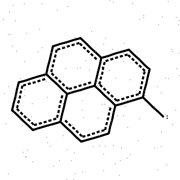 [CH]c1ccc2ccc3cccc4ccc1c2c34